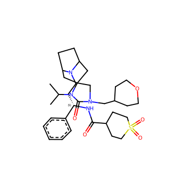 CC(C)N1C(=O)N(CC2CCOCC2)CC12CC1CCC(C2)N1CC[C@H](NC(=O)C1CCS(=O)(=O)CC1)c1ccccc1